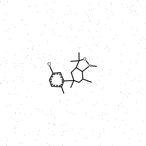 Cc1ccc(Cl)cc1C1(C)CC(C)C2C(C1)C(C)(C)ON2C